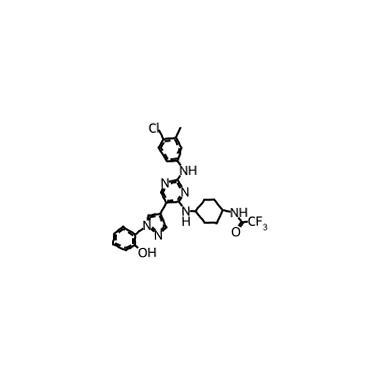 Cc1cc(Nc2ncc(-c3cnn(-c4ccccc4O)c3)c(NC3CCC(NC(=O)C(F)(F)F)CC3)n2)ccc1Cl